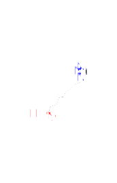 O=C(O)CCCCCCCCn1ccnn1